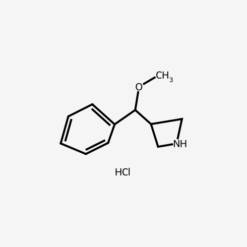 COC(c1ccccc1)C1CNC1.Cl